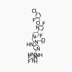 Fc1cc(Cl)ccc1COc1nc(C2CCN(CC3Nc4cc(C5NNC(C(F)(F)F)N5)ncc4N3CC3CCO3)CC2F)ccc1F